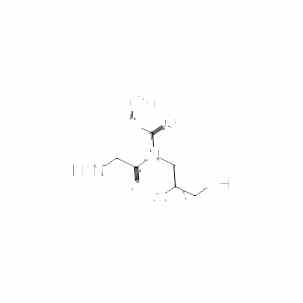 CC(=O)OC(CS)CN(C(=O)CN)C(=O)OC(C)(C)C